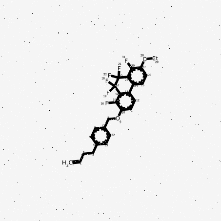 C=CCCc1ccc(COc2ccc3c(c2F)C(F)(F)C(F)(F)c2c-3ccc(OCC)c2F)cc1